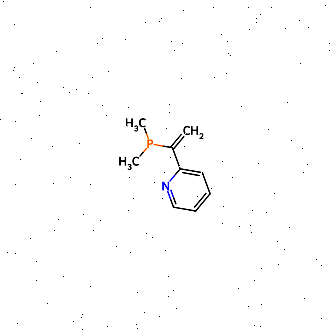 C=C(c1ccccn1)P(C)C